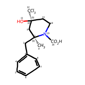 C[C@]1(Cc2ccccc2)C[C@](O)(C(Cl)(Cl)Cl)CCN1C(=O)O